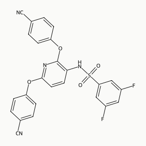 N#Cc1ccc(Oc2ccc(NS(=O)(=O)c3cc(F)cc(F)c3)c(Oc3ccc(C#N)cc3)n2)cc1